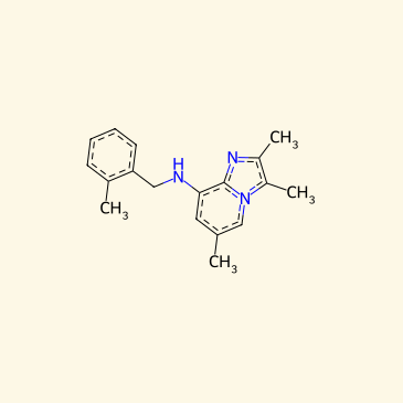 Cc1cc(NCc2ccccc2C)c2nc(C)c(C)n2c1